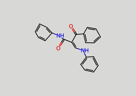 O=C(Nc1ccccc1)C(=CNc1ccccc1)C(=O)c1ccccc1